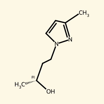 Cc1ccn(CC[C@@H](C)O)n1